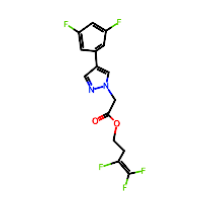 O=C(Cn1cc(-c2cc(F)cc(F)c2)cn1)OCCC(F)=C(F)F